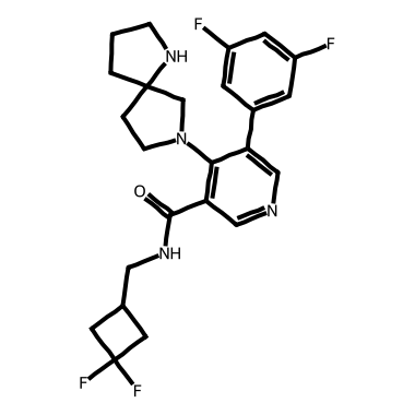 O=C(NCC1CC(F)(F)C1)c1cncc(-c2cc(F)cc(F)c2)c1N1CCC2(CCCN2)C1